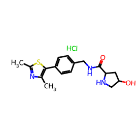 Cc1nc(C)c(-c2ccc(CNC(=O)C3CC(O)CN3)cc2)s1.Cl